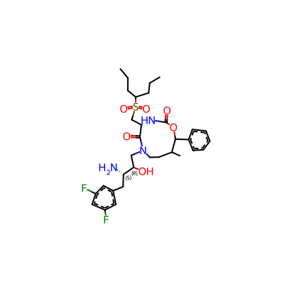 CCCC(CCC)S(=O)(=O)CC1NC(=O)OC(c2ccccc2)C(C)CCN(C[C@@H](O)[C@@H](N)Cc2cc(F)cc(F)c2)C1=O